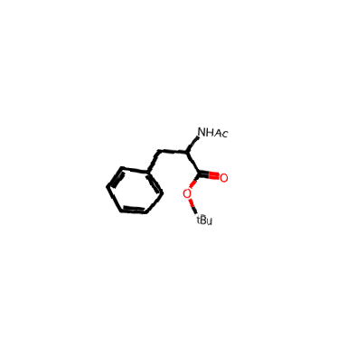 CC(=O)NC(Cc1ccccc1)C(=O)OC(C)(C)C